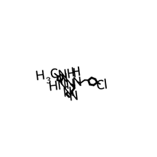 Cc1cc(Nc2nc(NCCc3ccc(Cl)cc3)cc3nccn23)n[nH]1